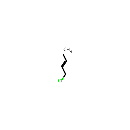 C.CC=CCCl